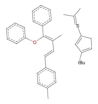 CC(C=Cc1ccc(C)cc1)=C(Oc1ccccc1)c1ccccc1.C[C](C)=[Ti][C]1=CC(C(C)(C)C)=CC1